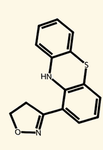 c1ccc2c(c1)Nc1c(cccc1C1=NOCC1)S2